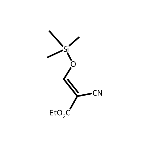 CCOC(=O)C(C#N)=CO[Si](C)(C)C